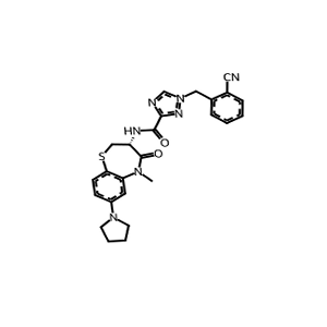 CN1C(=O)[C@@H](NC(=O)c2ncn(Cc3ccccc3C#N)n2)CSc2ccc(N3CCCC3)cc21